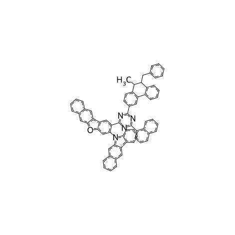 CC1c2ccc(-c3nc(-c4cc5c(cc4-n4c6ccccc6c6cc7ccccc7cc64)oc4cc6ccccc6cc45)nc(-c4cccc5ccccc45)n3)cc2-c2ccccc2C1Cc1ccccc1